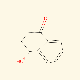 O=C1CC[C@@H](O)c2ccccc21